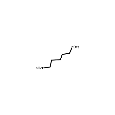 CC[CH]CCCCCCCCCCCCCCCCCC